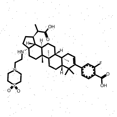 CC(C(=O)O)[C@@H]1CC[C@]2(NCCN3CCS(=O)(=O)CC3)CC[C@]3(C)[C@H](CC[C@@H]4[C@@]5(C)CC=C(c6ccc(C(=O)O)c(F)c6)C(C)(C)[C@@H]5CC[C@]43C)[C@@H]12